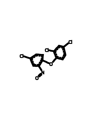 O=Nc1cc(Cl)ccc1Oc1ccc(Cl)cc1Cl